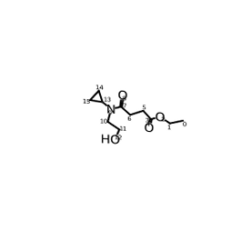 CCOC(=O)CCC(=O)N(CCO)C1CC1